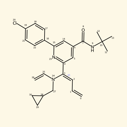 C=C/C=C(/c1cc(C(=O)NC(C)(C)C)cc(-c2ccc(Cl)cc2)n1)N(C=C)CC1CC1